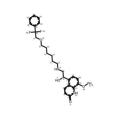 O=c1ccc2c([C@@H](O)CNCCCCCCOCC(F)(F)c3ccccc3)ccc(OP)c2[nH]1